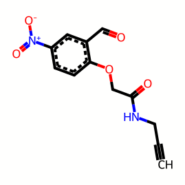 C#CCNC(=O)COc1ccc([N+](=O)[O-])cc1C=O